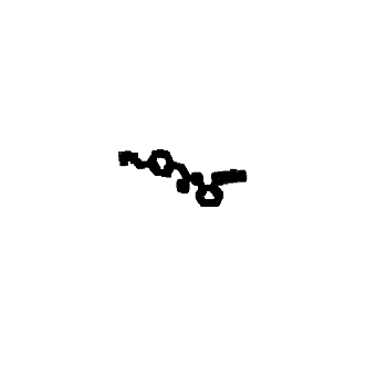 COc1ccccc1OC(=O)Cc1ccc(CC(C)C)cc1